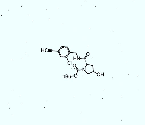 C#Cc1ccc(CNC(=O)[C@@H]2CC(O)CN2C(=O)OC(C)(C)C)c(Cl)c1